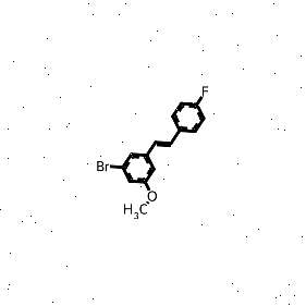 COc1cc(Br)cc(/C=C/c2ccc(F)cc2)c1